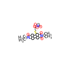 CCC(CC)N1Cc2ccc3c4ccc5c6c(cc(SCCC(=O)ON7C(=O)CCC7=O)c(c7ccc(c2c37)C1=O)c64)C(=O)N(C(CC)CC)C5=O